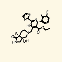 CCOC(=O)C1=C(CN2CC[C@]3(F)C(=O)NC[C@]3(O)C2)NC(c2nccs2)=N[C@H]1c1cccc(F)c1C